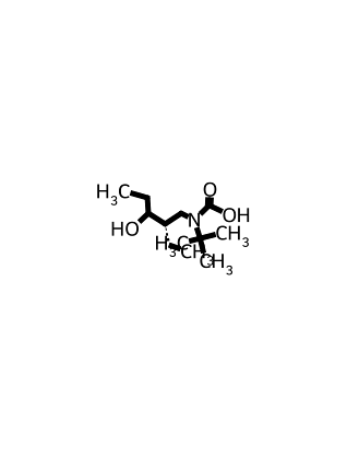 CCC(O)[C@@H](CC)CN(C(=O)O)C(C)(C)C